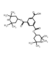 CC1(C)CC(OC(=O)c2cc(C(=O)O)cc(C(=O)OC3CC(C)(C)NC(C)(C)C3)c2)CC(C)(C)N1